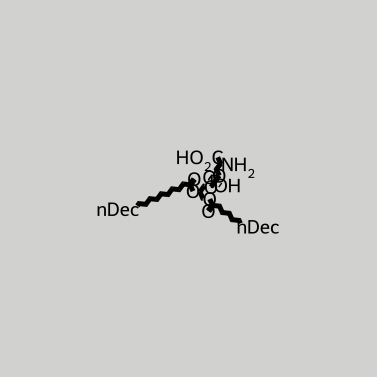 CCCCCCCCCCCCCCCCCCCC(=O)OC(COC(=O)CCCCCCCCCCCCCCC)COP(=O)(O)OCC(N)C(=O)O